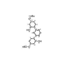 CCCCOc1ccc(-c2ncnc(-c3ccc(OCCCC)cc3O)n2)c(O)c1